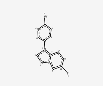 CC(C)c1ccc(-n2cnc3cc(F)ccc32)cn1